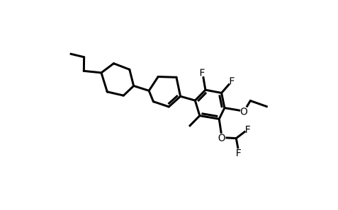 CCCC1CCC(C2CC=C(c3c(C)c(OC(F)F)c(OCC)c(F)c3F)CC2)CC1